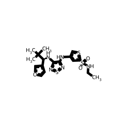 CCNS(=O)(=O)c1cc(Nc2nsnc2N[C@@H](c2ccoc2)C(C)(C)C)cs1